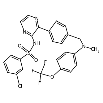 CN(Cc1ccc(-c2nccnc2NS(=O)(=O)c2cccc(Cl)c2)cc1)c1ccc(OC(F)(F)F)cc1